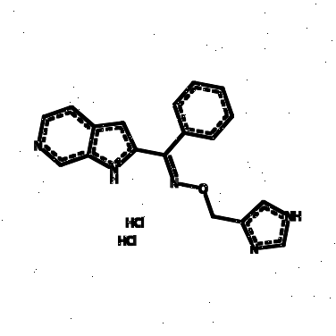 Cl.Cl.c1ccc(/C(=N\OCc2c[nH]cn2)c2cc3ccncc3[nH]2)cc1